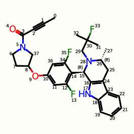 CC#CC(=O)N1CCC(Oc2cc(F)c([C@@H]3c4[nH]c5ccccc5c4C[C@@H](C)N3CC(C)(C)F)c(F)c2)C1